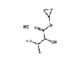 CCC(N)C(O)C(=O)NC1CC1.Cl